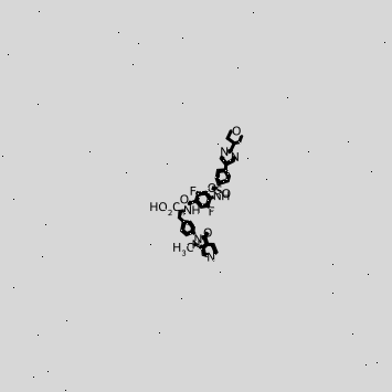 Cn1c2cnccc2c(=O)n1-c1ccc(C[C@H](NC(=O)c2cc(F)c(NS(=O)(=O)c3ccc(-c4cnc(C5CCOCC5)nc4)cc3)cc2F)C(=O)O)cc1